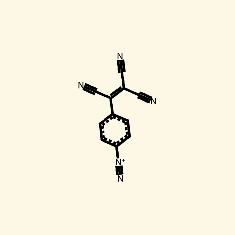 N#CC(C#N)=C(C#N)c1ccc([N+]#N)cc1